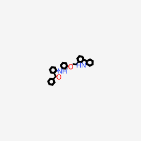 O=C(c1ccccc1)c1ccccc1Nc1[c]c(OCCc2cccc3c2[nH]c2ccccc23)ccc1